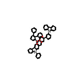 c1ccc(-c2ccccc2-c2c(-c3ccccc3)cccc2N(c2ccc(-c3cccc(-n4c5ccccc5c5ccccc54)c3)cc2)c2ccc3c(c2)c2ccccc2n3-c2ccccc2)cc1